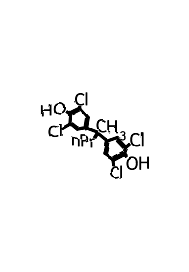 CCCC(C)(c1cc(Cl)c(O)c(Cl)c1)c1cc(Cl)c(O)c(Cl)c1